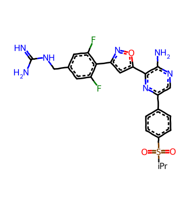 CC(C)S(=O)(=O)c1ccc(-c2cnc(N)c(-c3cc(-c4c(F)cc(CNC(=N)N)cc4F)no3)n2)cc1